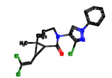 CCN(C(=O)C1C(C=C(Cl)Cl)C1(C)C)c1cn(-c2ccccc2)nc1Cl